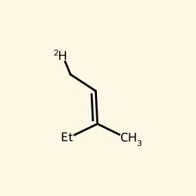 [2H]C/C=C(/C)CC